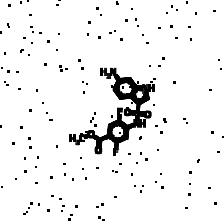 COC(=O)c1cc(F)c(NS(=O)(=O)c2c[nH]c3cc(N)ccc23)cc1F